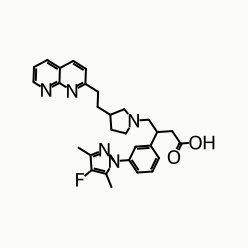 Cc1nn(-c2cccc(C(CC(=O)O)CN3CCC(CCc4ccc5cccnc5n4)C3)c2)c(C)c1F